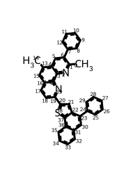 Cc1nc2c(cc1-c1ccccc1)c(C)cc1ccc(-c3cc4c(-c5ccccc5)cc5ccccc5c4s3)nc12